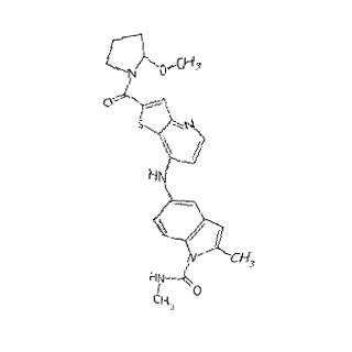 CNC(=O)n1c(C)cc2cc(Nc3ccnc4cc(C(=O)N5CCCC5OC)sc34)ccc21